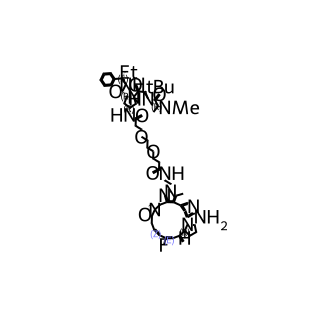 C=C1/C=C(F)\C=C/CC(=O)N(C)Cc2nn(CCNC(=O)CCOCCOCCC(=O)N[C@@H]3C[C@H](C(=O)N[C@@H](CC)c4ccccc4)N(C(=O)C(NC(=O)[C@@H](C)NC)C(C)(C)C)C3)c(C)c2-c2cnc(N)c(c2)N2CCC[C@H]12